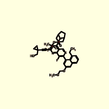 CCc1cccc2cc(OCOC)cc(-c3ncc4c(N5CC6CCC(C5)N6C(=O)OC(C)(C)C)nc(C#CC5(CO)CC5)nc4c3F)c12